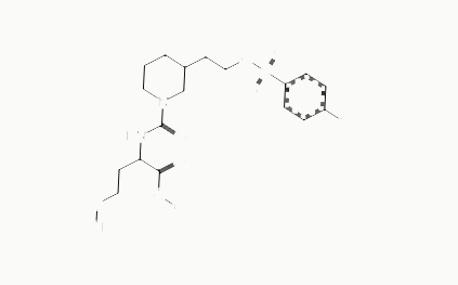 COC(=O)C(CCSC)NC(=O)N1CCCC(CCOS(=O)(=O)c2ccc(C)cc2)C1